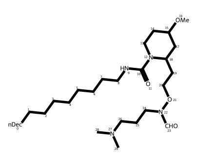 CCCCCCCCCCCCCCCCCCNC(=O)N1CCC(OC)CC1CCON(C=O)CCCN(C)C